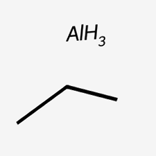 CCC.[AlH3]